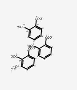 O=C([O-])c1ccccc1C(=O)[O-].O=C([O-])c1ccccc1C(=O)[O-].O=C([O-])c1ccccc1C(=O)[O-].[Cr+3].[Cr+3]